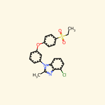 CCS(=O)(=O)c1ccc(Oc2cccc(-n3c(C)nc4c(Cl)cccc43)c2)cc1